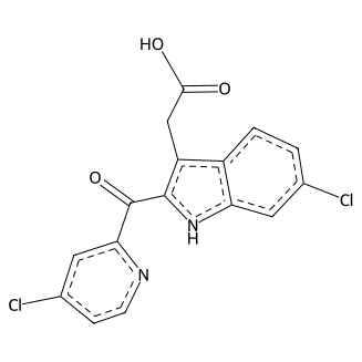 O=C(O)Cc1c(C(=O)c2cc(Cl)ccn2)[nH]c2cc(Cl)ccc12